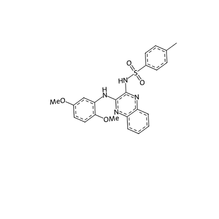 COc1ccc(OC)c(Nc2nc3ccccc3nc2NS(=O)(=O)c2ccc(C)cc2)c1